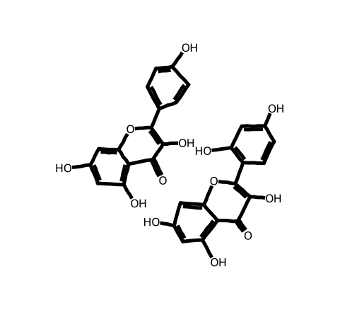 O=c1c(O)c(-c2ccc(O)cc2)oc2cc(O)cc(O)c12.O=c1c(O)c(-c2ccc(O)cc2O)oc2cc(O)cc(O)c12